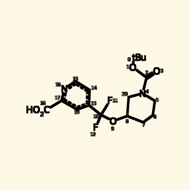 CC(C)(C)OC(=O)N1CCCC(OC(F)(F)c2ccnc(C(=O)O)c2)C1